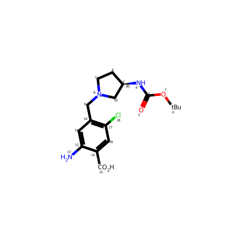 CC(C)(C)OC(=O)N[C@@H]1CCN(Cc2cc(N)c(C(=O)O)cc2Cl)C1